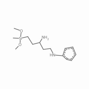 CO[Si](C)(CCC(N)CCNc1ccccc1)OC